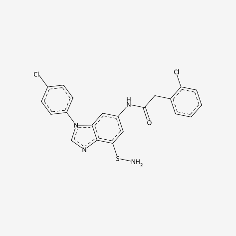 NSc1cc(NC(=O)Cc2ccccc2Cl)cc2c1ncn2-c1ccc(Cl)cc1